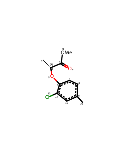 COC(=O)[C@@H](C)Oc1ccc(C)cc1Cl